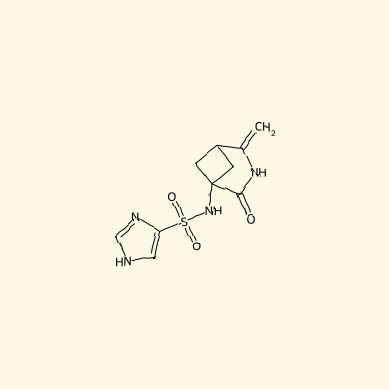 C=C1NC(=O)C2(NS(=O)(=O)c3c[nH]cn3)CC1C2